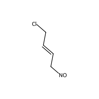 O=NCC=CCCl